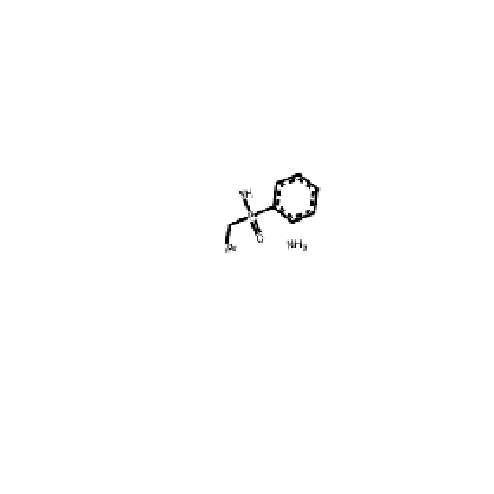 CC(C)CP(=O)(S)c1ccccc1.N